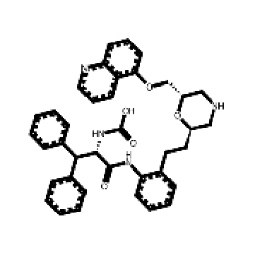 O=C(O)N[C@H](C(=O)Nc1ccccc1CC[C@@H]1CNC[C@@H](COc2cccc3ncccc23)O1)C(c1ccccc1)c1ccccc1